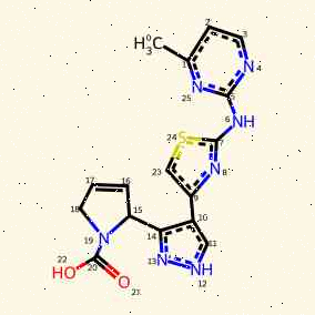 Cc1ccnc(Nc2nc(-c3c[nH]nc3C3C=CCN3C(=O)O)cs2)n1